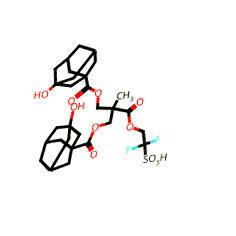 CC(COC(=O)C12CC3CC(CC(O)(C3)C1)C2)(COC(=O)C12CC3CC(CC(O)(C3)C1)C2)C(=O)OCC(F)(F)S(=O)(=O)O